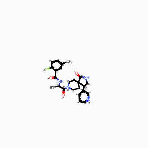 CC(C)[C@@H](NC(=O)c1cc(C(F)(F)F)ccc1F)C(=O)N1CCC2(CC1)C(=O)NCC2c1cccnc1